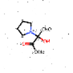 COC(=O)C(O)(C=O)N1CCCC1